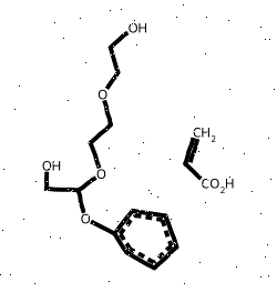 C=CC(=O)O.OCCOCCOC(CO)Oc1ccccc1